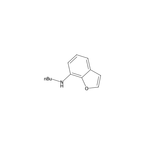 CCCCNc1cccc2ccoc12